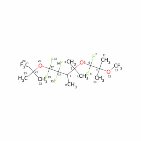 CC(C(C)(C)OC(F)(F)C(C)(C)OC(F)(F)F)C(F)(F)C(F)(F)OC(C)(C)C(F)(F)F